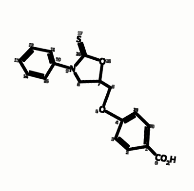 O=C(O)c1ccc(OCC2CN(c3ccccc3)C(=S)O2)cc1